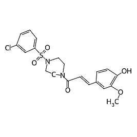 COc1cc(/C=C/C(=O)N2CCN(S(=O)(=O)c3cccc(Cl)c3)CC2)ccc1O